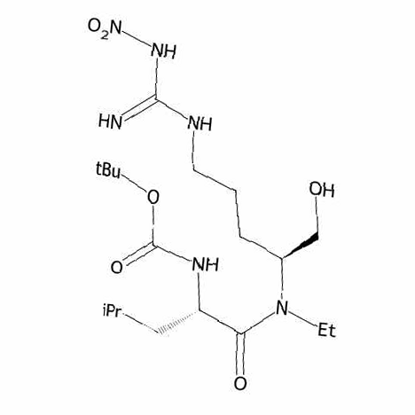 CCN(C(=O)[C@H](CC(C)C)NC(=O)OC(C)(C)C)[C@H](CO)CCCNC(=N)N[N+](=O)[O-]